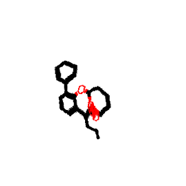 CCCC(C=O)c1cccc(-c2ccccc2)c1OC1CCCCO1